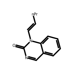 CCCC=Cn1c(=O)ncc2ccccc21